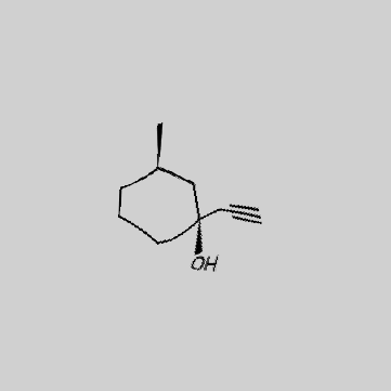 C#C[C@]1(O)CCC[C@@H](C)C1